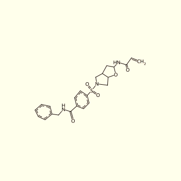 C=CC(=O)NC1CC2CN(S(=O)(=O)c3ccc(C(=O)NCc4ccccc4)cc3)CC2O1